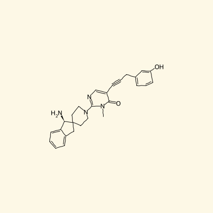 Cn1c(N2CCC3(CC2)Cc2ccccc2[C@H]3N)ncc(C#CCc2cccc(O)c2)c1=O